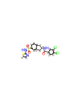 O=C(NC1Cc2ccc(S(=O)(=O)Nc3nccs3)cc2C1)c1ccc(Cl)c(Cl)c1